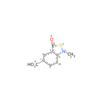 Cn1sc(=O)c2cc(C(=O)O)ccc21